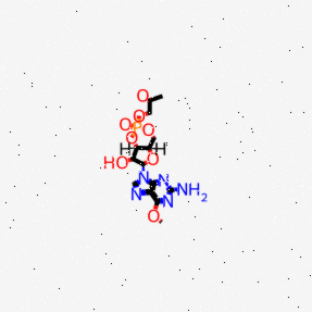 COc1nc(N)nc2c1ncn2[C@@H]1O[C@@H]2COP(=O)(OCC(C)=O)O[C@@H]2C1O